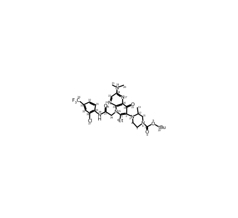 CCc1c(N2CCN(C(=O)OC(C)(C)C)CC2C)c(=O)c2nc(N(C)C)cnc2n1CC(=O)Nc1ccc(C(F)(F)F)cc1Cl